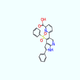 O=C(O)c1cccc(-c2cnc3[nH]c(-c4ccccc4)cc3c2S(=O)(=O)c2ccccc2)n1